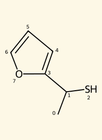 CC(S)c1ccco1